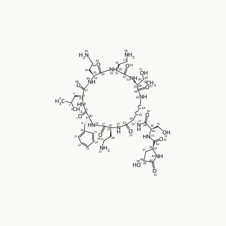 CC(C)C[C@@H]1NC(=O)[C@@H](Cc2ccccc2)NC(=O)[C@H](CCN)NC(=O)[C@@H](NC(=O)[C@@H](CO)NC(=O)[C@@H]2C[C@@H](O)C(=O)N2)CCNC(=O)[C@H]([C@@H](C)O)NC(=O)[C@H](CCN)NC(=O)[C@H](CCN)NC1=O